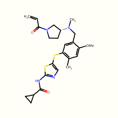 C=CC(=O)N1CC[C@@H](N(C)Cc2cc(Sc3cnc(NC(=O)C4CC4)s3)c(C)cc2OC)C1